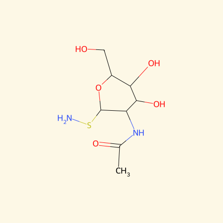 CC(=O)NC1C(SN)OC(CO)C(O)C1O